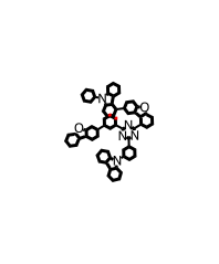 c1ccc(-n2c3ccccc3c3c(-c4ccc5oc6cccc(-c7nc(-c8cccc(-c9ccc%10c(c9)oc9ccccc9%10)c8)nc(-c8cccc(-n9c%10ccccc%10c%10ccccc%109)c8)n7)c6c5c4)cccc32)cc1